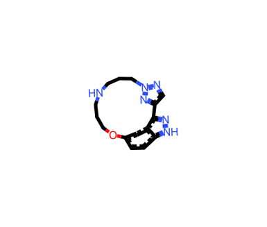 c1cc2[nH]nc3c2cc1OCCCNCCCn1ncc-3n1